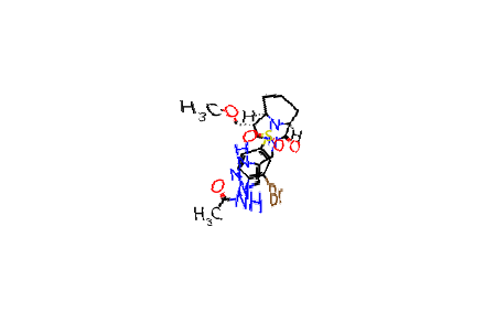 COC[C@H]1CN(Cc2cnn[nH]2)C(=O)[C@@H]2CCC[C@H]1N2S(=O)(=O)c1ccc(NC(C)=O)c(Br)c1